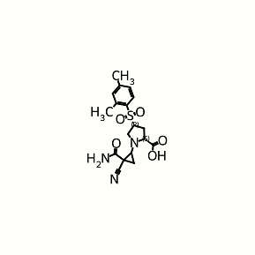 Cc1ccc(S(=O)(=O)[C@@H]2C[C@@H](C(=O)O)N(C3CC3(C#N)C(N)=O)C2)c(C)c1